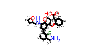 C[C@@H](N)c1cccc(-c2cc(NCC3CCCO3)c3c(c2)C(Oc2ccccc2CC(=O)O)CCO3)c1F